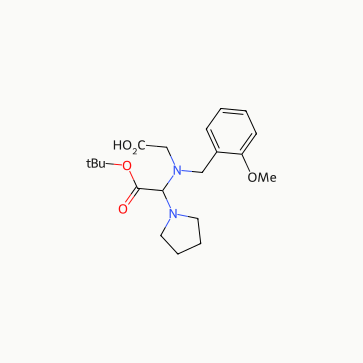 COc1ccccc1CN(CC(=O)O)C(C(=O)OC(C)(C)C)N1CCCC1